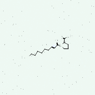 CCCCCCC/C=C/C(=O)N1CCCC1C(=O)O